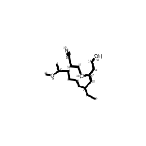 CCC(CCCCC(C)OC)CC(CCO)OCCC#N